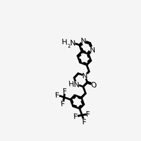 Nc1ncnc2cc(CN3CCNC(Cc4cc(C(F)(F)F)cc(C(F)(F)F)c4)C3=O)ccc12